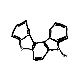 CC(C)n1c2ccccc2c2c3c(ccc21)sc1ccccc13